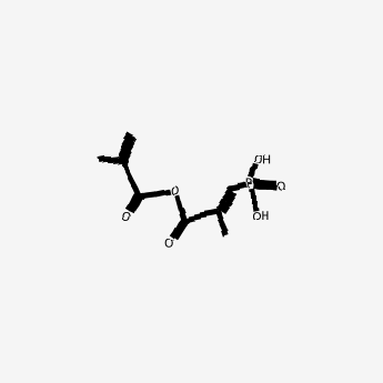 C=C(C)C(=O)OC(=O)C(C)=CP(=O)(O)O